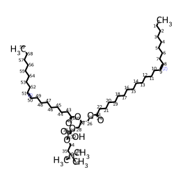 CCCCCCCC/C=C\CCCCCCCCCCCCCC(=O)OC[C@H](COP(=O)(O)OCC[N+](C)(C)C)OC(=O)CCCCCCC/C=C\CCCCCCCC